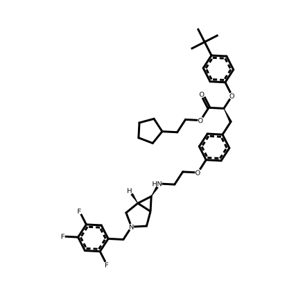 CC(C)(C)c1ccc(O[C@@H](Cc2ccc(OCCN[C@H]3C4CN(Cc5cc(F)c(F)cc5F)C[C@@H]43)cc2)C(=O)OCCC2CCCC2)cc1